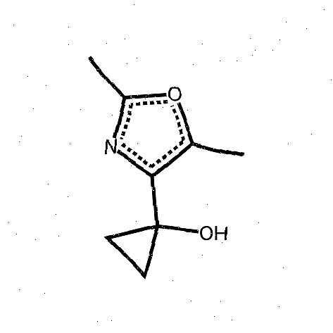 Cc1nc(C2(O)CC2)c(C)o1